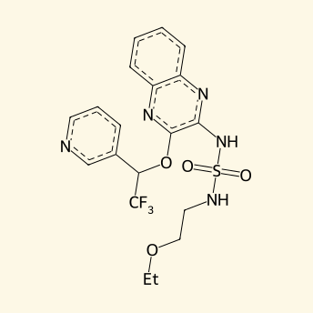 CCOCCNS(=O)(=O)Nc1nc2ccccc2nc1OC(c1cccnc1)C(F)(F)F